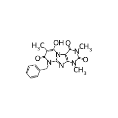 Cc1c(O)n2c3c(=O)n(C)c(=O)n(C)c3nc2n(Cc2ccccc2)c1=O